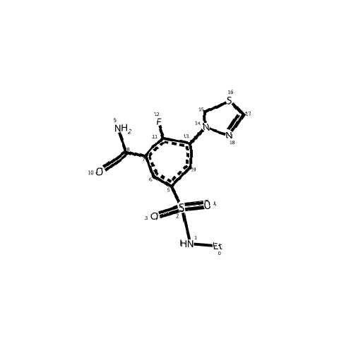 CCNS(=O)(=O)c1cc(C(N)=O)c(F)c(N2CSC=N2)c1